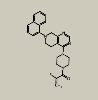 C=C(F)C(=O)N1CCN(c2ncnc3c2CCN(c2cccc4ccccc24)C3)CC1